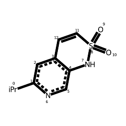 CC(C)c1cc2c(cn1)NS(=O)(=O)C=C2